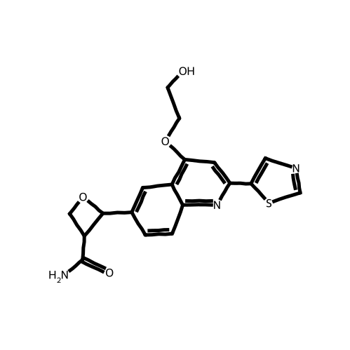 NC(=O)C1COC1c1ccc2nc(-c3cncs3)cc(OCCO)c2c1